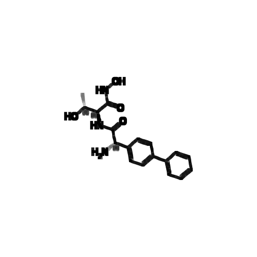 C[C@@H](O)[C@H](NC(=O)[C@@H](N)c1ccc(-c2ccccc2)cc1)C(=O)NO